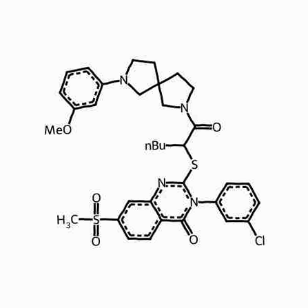 CCCCC(Sc1nc2cc(S(C)(=O)=O)ccc2c(=O)n1-c1cccc(Cl)c1)C(=O)N1CCC2(CCN(c3cccc(OC)c3)C2)C1